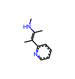 CN/C(C)=C(\C)c1ccccn1